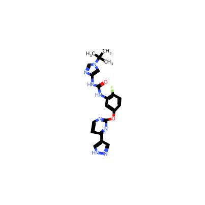 CC(C)(C)n1cnc(NC(=O)Nc2cc(Oc3nccc(-c4cn[nH]c4)n3)ccc2F)c1